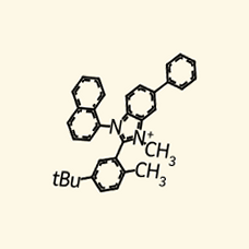 Cc1ccc(C(C)(C)C)cc1-c1n(-c2cccc3ccccc23)c2ccc(-c3ccccc3)cc2[n+]1C